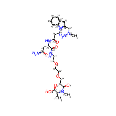 C[C@@H](C(=O)O)N(C)C(=O)CCOCCOCCNC(=O)[C@H](CC(N)=O)NC(=O)CCn1c(CN(C)N)cc2ccccc21